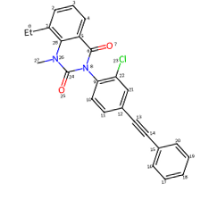 CCc1cccc2c(=O)n(-c3ccc(C#Cc4ccccc4)cc3Cl)c(=O)n(C)c12